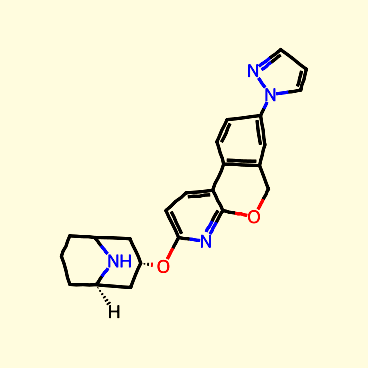 c1cnn(-c2ccc3c(c2)COc2nc(O[C@H]4CC5CCC[C@H](C4)N5)ccc2-3)c1